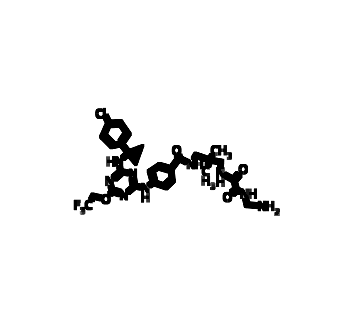 CC(C)(CNC(=O)C(=O)NCN)CNC(=O)c1ccc(Nc2nc(NC3(c4ccc(Cl)cc4)CC3)nc(OCC(F)(F)F)n2)cc1